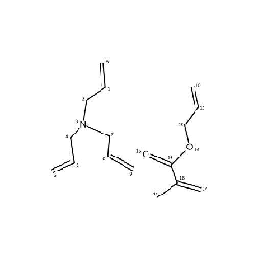 C=CCN(CC=C)CC=C.C=CCOC(=O)C(=C)C